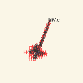 CNCCOCCOCCOCCOCCOCCOCCOCCOCCOCCOCCOCCOCCC(=O)N(CCN(C[C@H](O)[C@@H](O)[C@H](O)[C@H](O)CO)C[C@H](O)[C@@H](O)[C@H](O)[C@H](O)CO)CCN(C[C@H](O)[C@@H](O)[C@H](O)[C@H](O)CO)C[C@H](O)[C@@H](O)[C@H](O)[C@H](O)CO